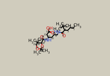 CCCCC(C(=O)NCCCC(CC(=O)O)NC(=O)C1OC(C)(C)OCC1(C)C)C(C)(C)C